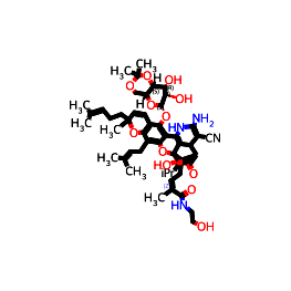 CC(C)=CCCC1(C)C=Cc2c(c(CC=C(C)C)c3c(c2O[C@@H]2O[C@@H]4COC(C)(C)O[C@H]4[C@H](O)[C@H]2O)C2=C4C(C(C#N)=C(N)N2)C2CC(C(C)C)C4(O3)C(O)(C/C=C(/C)C(=O)NCCO)C2=O)O1